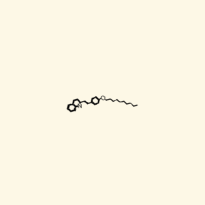 CCCCCCCCCCOc1ccc(C=Cc2ccc3ccccc3n2)cc1